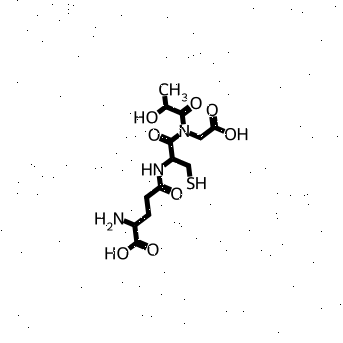 CC(O)C(=O)N(CC(=O)O)C(=O)C(CS)NC(=O)CCC(N)C(=O)O